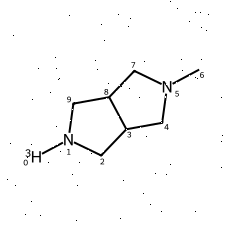 [3H]N1CC2CN(C)CC2C1